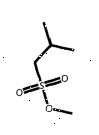 COS(=O)(=O)CC(C)C